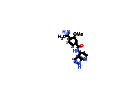 COc1cc(C(=O)Nc2ccnc3[nH]ncc23)ccc1C(C)N